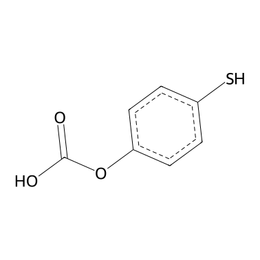 O=C(O)Oc1ccc(S)cc1